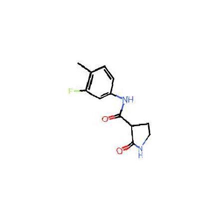 Cc1ccc(NC(=O)C2CCNC2=O)cc1F